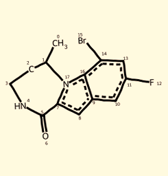 CC1CCNC(=O)c2cc3cc(F)cc(Br)c3n21